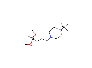 CO[Si](C)(CCCN1CCN([Si](C)(C)C)CC1)OC